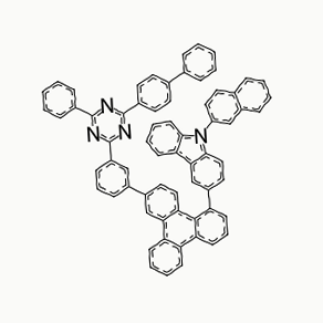 c1ccc(-c2ccc(-c3nc(-c4ccccc4)nc(-c4cccc(-c5ccc6c(c5)c5ccccc5c5cccc(-c7ccc8c(c7)c7ccccc7n8-c7ccc8ccccc8c7)c56)c4)n3)cc2)cc1